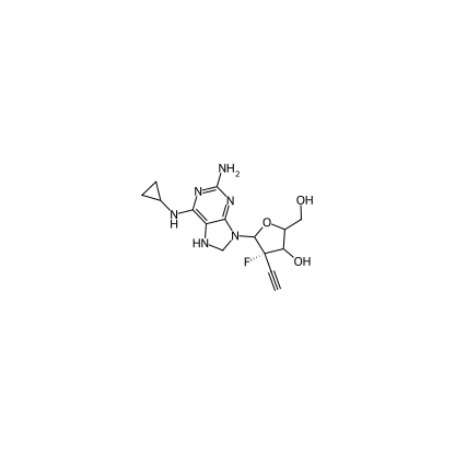 C#C[C@]1(F)C(O)C(CO)OC1N1CNc2c(NC3CC3)nc(N)nc21